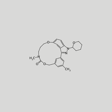 Cc1cc2cc(c1)-c1nn(C3CCCCO3)c3ccc(cc13)OCCCN(C)C(=O)OC2